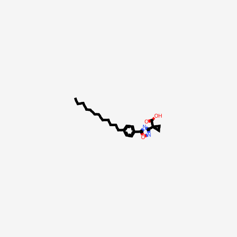 CCCCCCCCCCCCc1ccc(-c2nc(C3(C(=O)O)CC3)no2)cc1